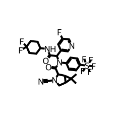 CC1(C)C2CN(C#N)C(C(=O)N(c3ccc(S(F)(F)(F)(F)F)cc3)C(C(=O)NC3CCC(F)(F)CC3)c3cncc(F)c3)C21